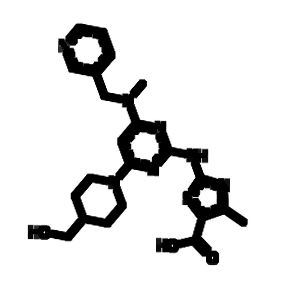 Cc1nc(Nc2nc(N(C)Cc3cccnc3)cc(N3CCC(CO)CC3)n2)sc1C(=O)O